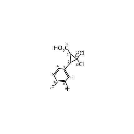 O=C(O)C1C(c2ccc(F)c(F)c2)C1(Cl)Cl